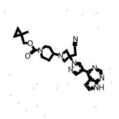 CC1(COC(=O)N2CCC(N3CC(CC#N)(n4cc(-c5ncnc6[nH]ccc56)cn4)C3)CC2)CC1